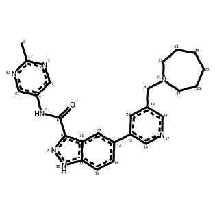 Cc1ncc(NC(=O)c2n[nH]c3ccc(-c4cncc(CN5CCCCCC5)c4)cc23)cn1